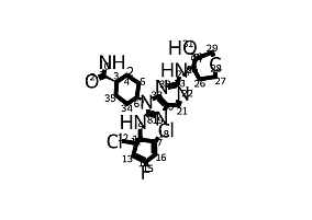 NC(=O)[C@H]1CC[C@@H](n2c(Nc3c(Cl)cc(F)cc3Cl)nc3cnc(N[C@@H]4CCCC[C@H]4O)nc32)CC1